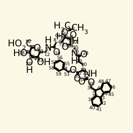 CC1(C)O[C@@H]2[C@H](O1)[C@@H](CC(=O)NC[C@@H]1O[C@H](C(=O)O)[C@@H](O)[C@H](O)[C@H]1O)O[C@H]2CNC(=O)CC[C@H](NC(=O)OCC1c2ccccc2-c2ccccc21)C(=O)OCc1ccccc1